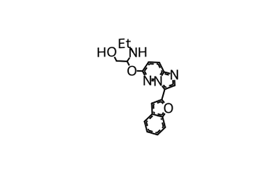 CCNC(CO)Oc1ccc2ncc(-c3cc4ccccc4o3)n2n1